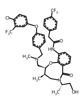 C[C@@H]1CN([C@@H](C)CO)C(=O)c2cccc(NC(=O)Cc3ccc(C(F)(F)F)cc3)c2O[C@@H]1CN(C)Cc1ccc(Oc2ccc(Cl)c(C(F)(F)F)c2)cc1